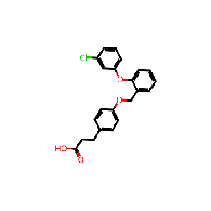 O=C(O)CCc1ccc(OCc2ccccc2Oc2cccc(Cl)c2)cc1